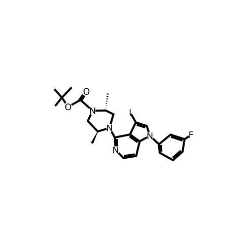 C[C@@H]1CN(c2nccc3c2c(I)cn3-c2cccc(F)c2)[C@@H](C)CN1C(=O)OC(C)(C)C